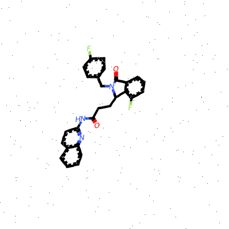 O=C(CCC1c2c(F)cccc2C(=O)N1Cc1ccc(F)cc1)Nc1ccc2ccccc2n1